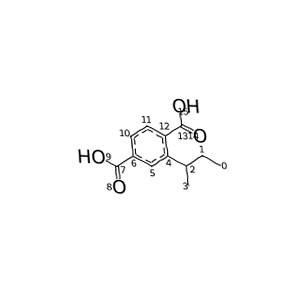 CCC(C)c1cc(C(=O)O)ccc1C(=O)O